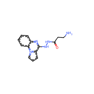 NCCC(=O)NNc1nc2ccccc2n2cccc12